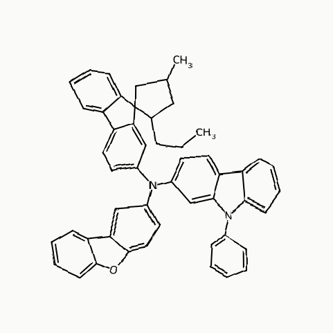 CCCC1CC(C)CC12c1ccccc1-c1ccc(N(c3ccc4oc5ccccc5c4c3)c3ccc4c5ccccc5n(-c5ccccc5)c4c3)cc12